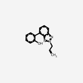 C=CCn1nc2cccc(-c3ccccc3O)c2n1